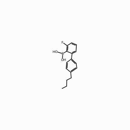 CCCCc1ccc(-c2cccc(F)c2B(O)O)cc1